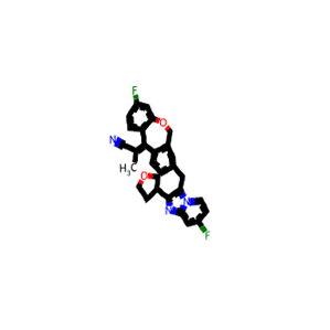 C/C(C#N)=C1\c2ccc(Cc3c(C4CCOC4)nc4cc(F)ccn34)cc2COc2cc(F)ccc21